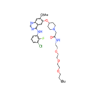 COc1cc2ncnc(Nc3cccc(Cl)c3F)c2cc1OC1CCN(CC(=O)NCCOCCOCCOCCC(C)(C)C)CC1